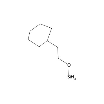 [SiH3]OCCC1CCCCC1